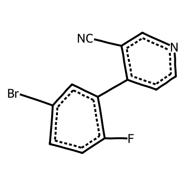 N#Cc1cnccc1-c1cc(Br)ccc1F